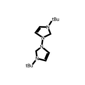 CC(C)(C)N1C=CN(N2C=CN(C(C)(C)C)C2)C1